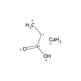 CCC(=O)O.[GaH3]